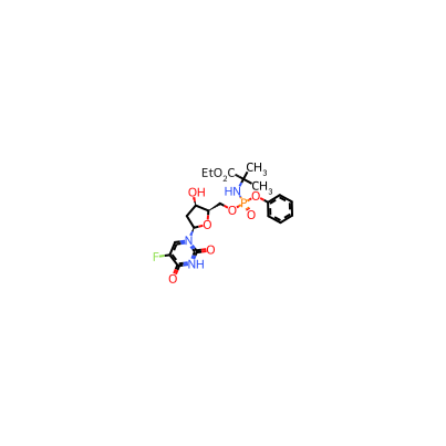 CCOC(=O)C(C)(C)NP(=O)(OC[C@H]1O[C@@H](n2cc(F)c(=O)[nH]c2=O)C[C@H]1O)Oc1ccccc1